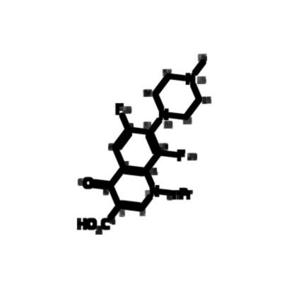 CCCn1cc(C(=O)O)c(=O)c2cc(F)c(N3CCN(C)CC3)c(F)c21